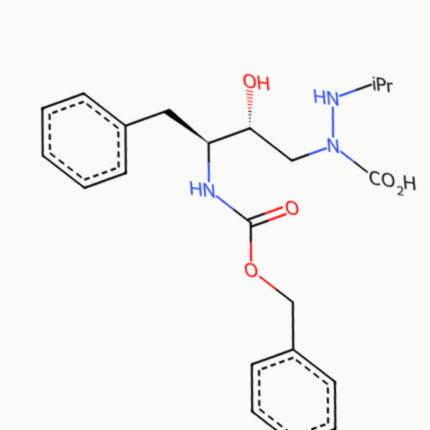 CC(C)NN(C[C@@H](O)[C@H](Cc1ccccc1)NC(=O)OCc1ccccc1)C(=O)O